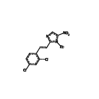 C[CH]n1c([N+](=O)[O-])cnc1/C=C/c1ccc(Cl)cc1Cl